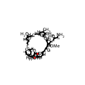 C=C1C[C@@H]2CC[C@]34CC[C@H](C=CO3)[C@@H]3O[C@H]5CC[C@H](CC(=O)C[C@@H]6[C@@H](OC)[C@@H](C[C@H](O)CN)O[C@H]6C[C@H]6O[C@@H](CC[C@@H]1O2)C[C@@H](C)C6=C)O[C@@H]5[C@H](OC4)[C@@H]3C